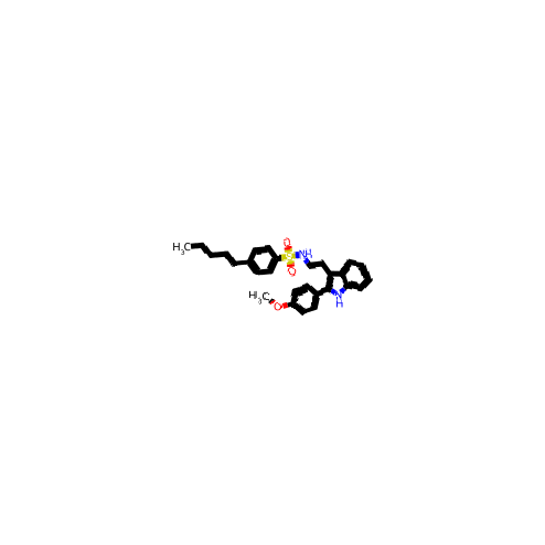 CCCCCc1ccc(S(=O)(=O)NCCc2c(-c3ccc(OC)cc3)[nH]c3ccccc23)cc1